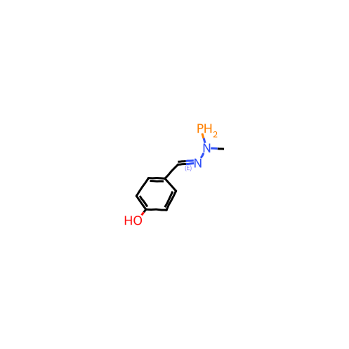 CN(P)/N=C/c1ccc(O)cc1